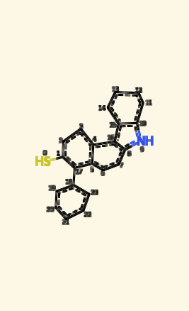 Sc1ccc2c(ccc3[nH]c4ccccc4c32)c1-c1ccccc1